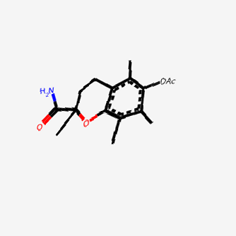 CC(=O)Oc1c(C)c(C)c2c(c1C)CCC(C)(C(N)=O)O2